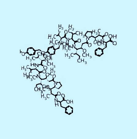 CCC(C)[C@@H]([C@@H](CC(=O)N1CCC[C@H]1[C@H](OC)[C@@H](C)C(=O)NC(Cc1ccccc1)C(=O)O)OC)N(C)C(=O)[C@@H](NC(=O)[C@H](C(C)C)[N+](C)(C)Cc1ccc(OCc2ccc(OI)cc2)c(C[N+](C)(C)[C@H](C(=O)N[C@H](C(=O)N(C)[C@@H](C(C)CC)[C@@H](CC(=O)N2CCC[C@H]2[C@H](OC)[C@@H](C)C(=O)NC(Cc2ccccc2)C(=O)O)OC)C(C)C)C(C)C)c1)C(C)C